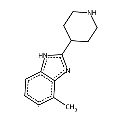 Cc1[c]ccc2[nH]c(C3CCNCC3)nc12